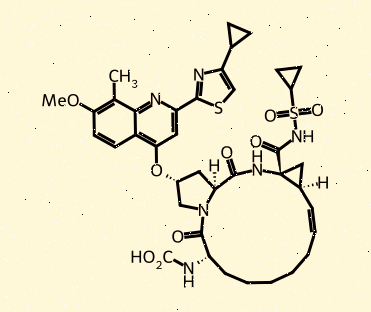 COc1ccc2c(O[C@@H]3C[C@H]4C(=O)N[C@]5(C(=O)NS(=O)(=O)C6CC6)C[C@H]5C=CCCCCC[C@H](NC(=O)O)C(=O)N4C3)cc(-c3nc(C4CC4)cs3)nc2c1C